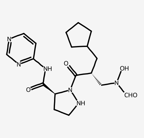 O=CN(O)C[C@@H](CC1CCCC1)C(=O)N1NCC[C@H]1C(=O)Nc1ccncn1